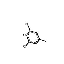 Cc1cn(Cl)[nH]n(Cl)s1